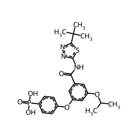 CC(C)Oc1cc(Oc2ccc(P(=O)(O)O)cc2)cc(C(=O)Nc2nnc(C(C)(C)C)s2)c1